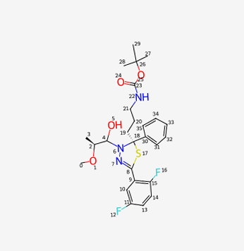 CO[C@@H](C)C(O)N1N=C(c2cc(F)ccc2F)S[C@]1(CCCNC(=O)OC(C)(C)C)c1ccccc1